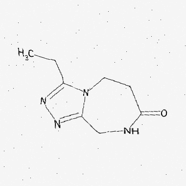 CCc1nnc2n1CCC(=O)NC2